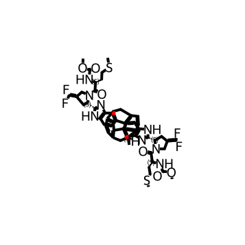 COC(=O)N[C@@H](CCSC)C(=O)N1CC(=C(F)F)C[C@H]1c1nc2cc(-c3cc4ccc3CCc3ccc(c(-c5ccc6[nH]c([C@@H]7CC(=C(F)F)CN7C(=O)[C@H](CCSC)NC(=O)OC)nc6c5)c3)C[C@H]4C)ccc2[nH]1